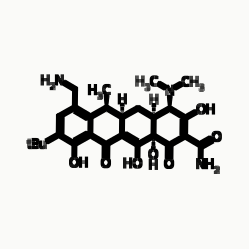 C[C@@H]1c2c(CN)cc(C(C)(C)C)c(O)c2C(=O)C2=C(O)[C@]3(O)C(=O)C(C(N)=O)=C(O)[C@H](N(C)C)[C@@H]3C[C@@H]21